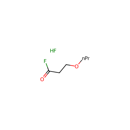 CCCOCCC(=O)F.F